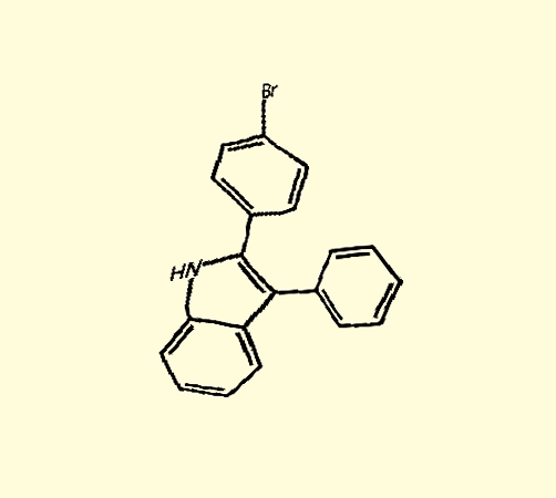 Brc1ccc(-c2[nH]c3ccccc3c2-c2ccccc2)cc1